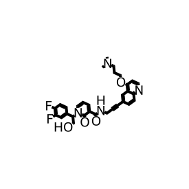 CN(C)CCCOc1ccnc2ccc(C#CCNC(=O)c3cccn(C(CO)c4ccc(F)c(F)c4)c3=O)cc12